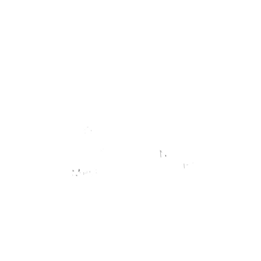 COC(=O)c1cn(C(C)C)c2ccccc12